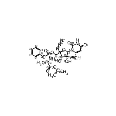 C#C[C@]1(O)C(n2ccc(=O)[nH]c2=O)O[C@@](COP(=O)(N[C@@H](C)C(=O)OC(C)C)Oc2ccccc2)(N=[N+]=[N-])[C@H]1O